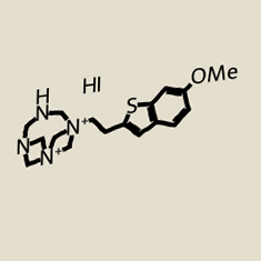 COc1ccc2cc(CC[N+]34CNCN5C[N+](C5)(C3)C4)sc2c1.I